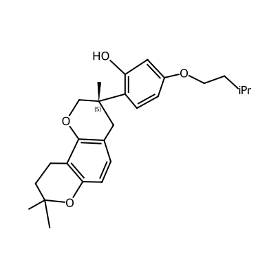 CC(C)CCOc1ccc([C@@]2(C)COc3c(ccc4c3CCC(C)(C)O4)C2)c(O)c1